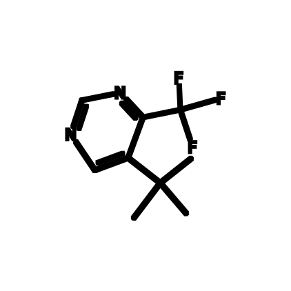 CC(C)(C)c1cncnc1C(F)(F)F